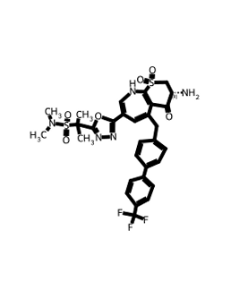 CN(C)S(=O)(=O)C(C)(C)c1nnc(C2=CNC3=C(C(=O)[C@@H](N)CS3(=O)=O)C(Cc3ccc(-c4ccc(C(F)(F)F)cc4)cc3)=C2)o1